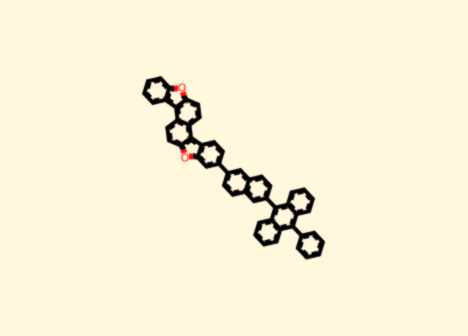 c1ccc(-c2c3ccccc3c(-c3ccc4cc(-c5ccc6c(c5)oc5ccc7c(ccc8oc9ccccc9c87)c56)ccc4c3)c3ccccc23)cc1